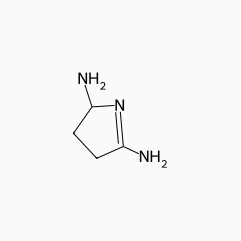 NC1=NC(N)CC1